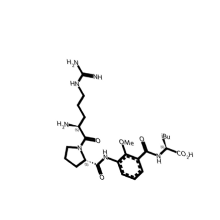 CCC(C)[C@H](NC(=O)c1cccc(NC(=O)[C@@H]2CCCN2C(=O)[C@@H](N)CCCNC(=N)N)c1OC)C(=O)O